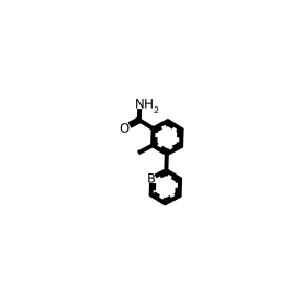 Cc1c(C(N)=O)cccc1-c1bcccc1